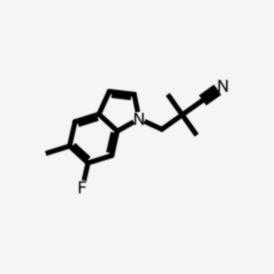 Cc1cc2ccn(CC(C)(C)C#N)c2cc1F